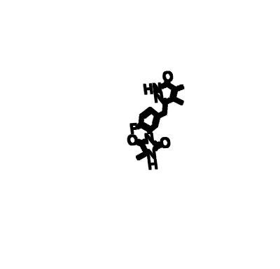 Cc1c(Cc2ccc(F)c(N3C(=O)NC(C)C3=O)c2)n[nH]c(=O)c1C